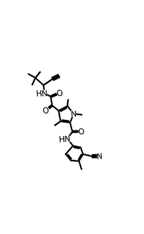 C#CC(NC(=O)C(=O)c1c(C)c(C(=O)Nc2ccc(C)c(C#N)c2)n(C)c1C)C(C)(C)C